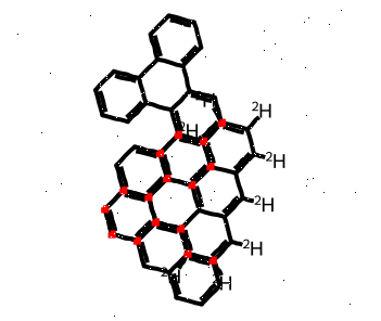 [2H]c1c([2H])c([2H])c2c(-c3c(-c4cccc5c6ccccc6c6ccccc6c45)ccc4ccc5cc6ccccc6cc5c34)c3c(-c4ccccc4-c4ccccc4)c([2H])c([2H])c([2H])c3c([2H])c2c1[2H]